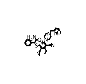 CCc1c(C#N)c(SC(C(N)=O)c2ccccc2)nc(N2CCN(Cc3ccon3)CC2)c1C#N